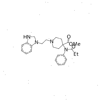 CCC(=O)N(c1ccccc1)C1(C(=O)OC)CCN(CCN2CNc3ccccc32)CC1